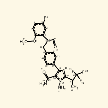 COc1ccc(F)cc1N(C=O)Cc1ccc(-c2nc(C(C)C(F)(F)F)n(N)c2C(N)=O)cc1